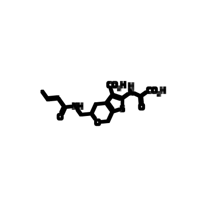 CC=CC(=O)NCC1Cc2c(sc(NC(=O)C(=O)O)c2C(=O)O)CO1